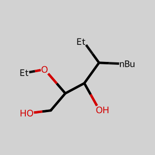 CCCCC(CC)C(O)C(CO)OCC